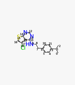 CC(C)c1ccc(CCNc2ncnc3scc(Cl)c23)cc1